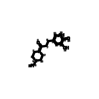 CCCN1CCN(C(=O)CCc2cc(O)c(=O)[nH]n2)CC1